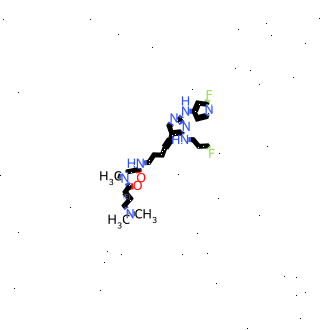 CN(C)C/C=C/C(=O)N(C)CC(=O)NCCCC#Cc1cnc(Nc2ccnc(F)c2)nc1NCCCF